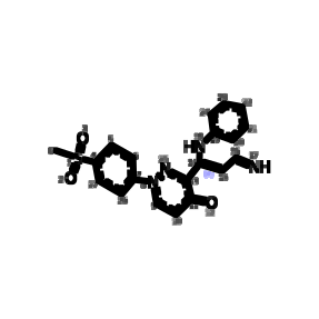 CS(=O)(=O)c1ccc(-n2ccc(=O)c(/C(=C/C=N)Nc3ccccc3)n2)cc1